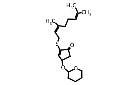 CC(C)=CCCC(C)=CCSC1=CC(OC2CCCCO2)CC1=O